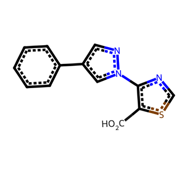 O=C(O)c1scnc1-n1cc(-c2ccccc2)cn1